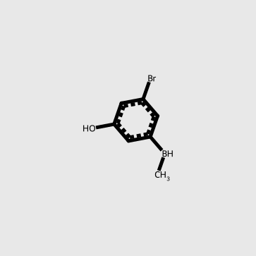 CBc1cc(O)cc(Br)c1